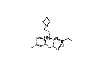 CCc1nnc(Cc2cccc(C)c2)c(NCCN2CCC2)n1